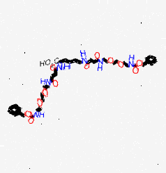 O=C(CCC(=O)NCCOCCOCCNC(=O)OCc1ccccc1)NCCCCC(NC(=O)CCC(=O)NCCOCCOCCNC(=O)OCc1ccccc1)C(=O)O